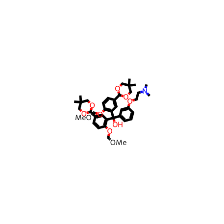 COCOc1ccc(C2OCC(C)(C)CO2)cc1C(O)(c1cccc(OCCN(C)C)c1)c1cc(C2OCC(C)(C)CO2)ccc1OCOC